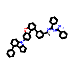 C[C@H](/N=C(\N=C(/N)c1ccccc1)c1ccccc1)C1=CC(c2cccc3oc4cc(-n5c6c(c7c(-c8ccccc8)cccc75)CC=C6)ccc4c23)CC=C1